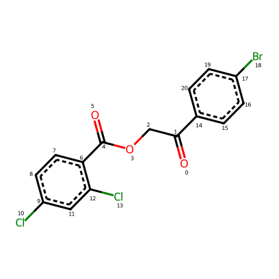 O=C(COC(=O)c1ccc(Cl)cc1Cl)c1ccc(Br)cc1